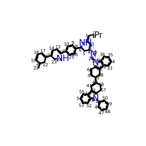 CC(C)\C=C/C=C(CC(=N)c1ccc(C2=CC=C(C3=CC=CC(C)C3)CN2)cc1)/N=C/n1c2c(c3ccccc31)CC(C1=Cc3c(n(-c4ccccc4)c4ccccc34)CC1)C=C2